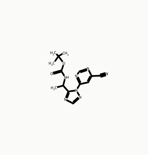 CC(NC(=O)OC(C)(C)C)c1ncnn1-c1cc(C#N)ncn1